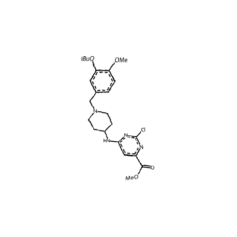 COC(=O)c1cc(NC2CCN(Cc3ccc(OC)c(OCC(C)C)c3)CC2)nc(Cl)n1